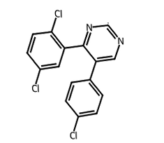 Clc1ccc(-c2cn[c]nc2-c2cc(Cl)ccc2Cl)cc1